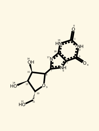 O=c1[nH]c(=O)c2[nH]c(C3O[C@H](CO)[C@@H](O)[C@H]3O)nc2[nH]1